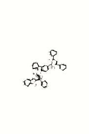 c1ccc(-c2cc(-c3ccccc3)nc(-c3ccc4c(c3)c3ccccc3n4-c3nc(-c4ccccc4)c4sc5ccccc5c4n3)n2)cc1